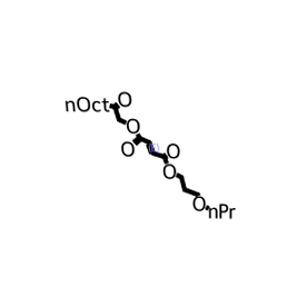 CCCCCCCCC(=O)COC(=O)/C=C/C(=O)OCCCOCCC